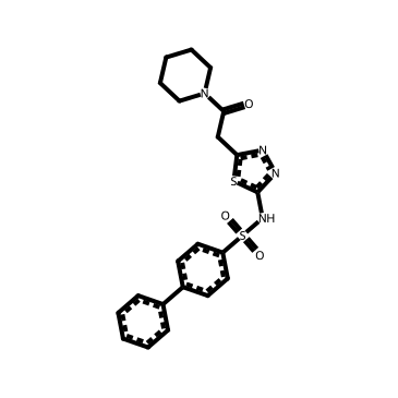 O=C(Cc1nnc(NS(=O)(=O)c2ccc(-c3ccccc3)cc2)s1)N1CCCCC1